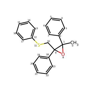 CC1(c2ccccc2)OC1(CSc1ccccc1)c1ccccc1